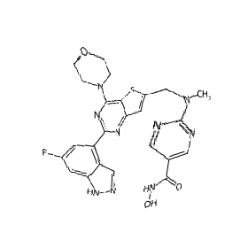 CN(Cc1cc2nc(-c3cc(F)cc4[nH]ncc34)nc(N3CCOCC3)c2s1)c1ncc(C(=O)NO)cn1